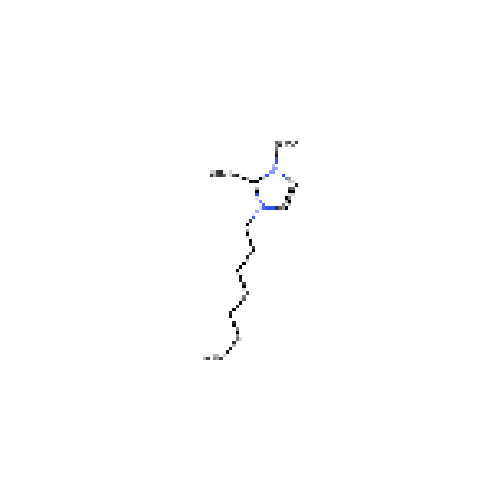 CCCCCCCCCCCCCCCCN1C=CN(CCCCCCCCCC)C1CCCCCCCCCC